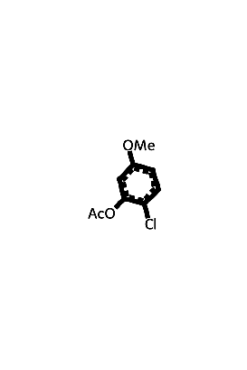 [CH2]C(=O)Oc1cc(OC)ccc1Cl